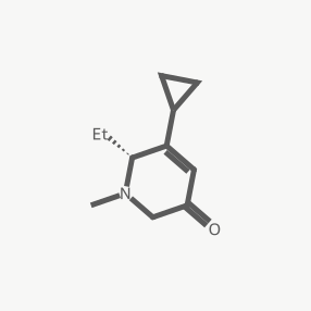 CC[C@@H]1C(C2CC2)=CC(=O)CN1C